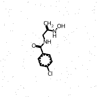 C=C(CNC(=O)c1ccc(Cl)cc1)NO